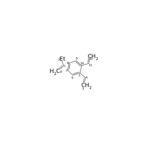 C=CCC.C=Cc1ccccc1C=C